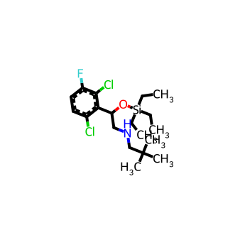 CC[Si](CC)(CC)OC(CNCC(C)(C)C)c1c(Cl)ccc(F)c1Cl